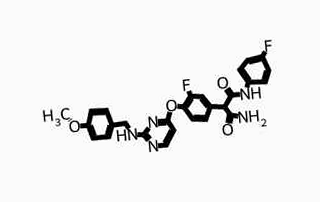 COc1ccc(CNc2nccc(Oc3ccc(C(C(N)=O)C(=O)Nc4ccc(F)cc4)cc3F)n2)cc1